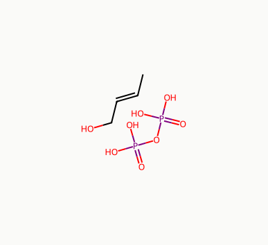 CC=CCO.O=P(O)(O)OP(=O)(O)O